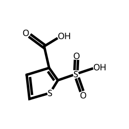 O=C(O)c1ccsc1S(=O)(=O)O